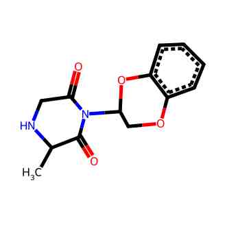 CC1NCC(=O)N(C2COc3ccccc3O2)C1=O